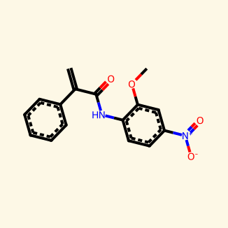 C=C(C(=O)Nc1ccc([N+](=O)[O-])cc1OC)c1ccccc1